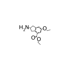 CCOC(=O)c1cc(OCC)cc2c1CC(N)C2